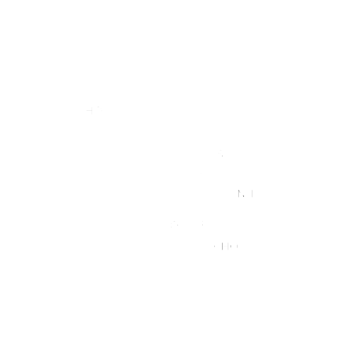 O=CC(=O)C1NCSC1Cc1cccc(O)c1